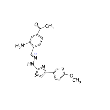 COc1ccc(-c2csc(N/N=C/c3ccc(C(C)=O)cc3N)n2)cc1